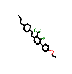 CCCC1CCC(/C=C/c2ccc(-c3ccc(OCC)cc3)c(F)c2C(F)F)CC1